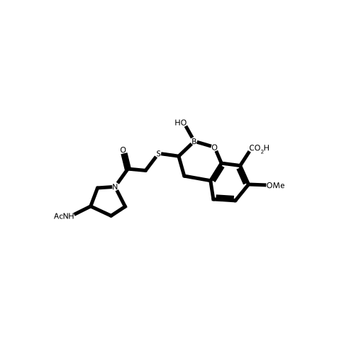 COc1ccc2c(c1C(=O)O)OB(O)C(SCC(=O)N1CCC(NC(C)=O)C1)C2